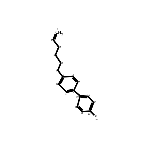 C=CCCCCc1ccc(-c2ccc(F)cc2)cc1